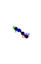 O=C(N[C@H]1CC[C@H](CCN2CCN(c3ccc(F)cc3F)CC2)CC1)C1=CCCCC1